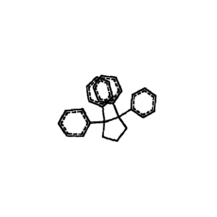 c1ccc(C2(c3ccccc3)CCCC2(c2ccccc2)c2ccccc2)cc1